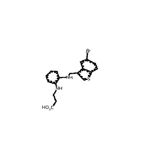 O=C(O)CCNc1ccccc1NCc1csc2ccc(Br)cc12